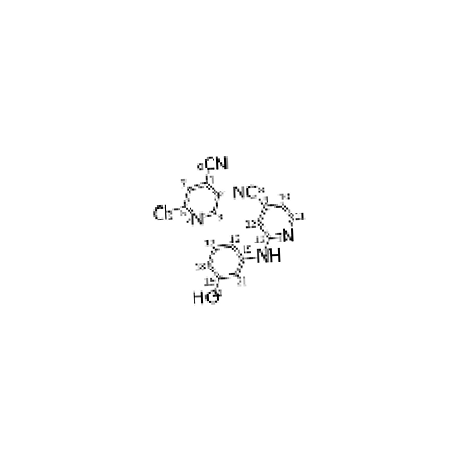 N#Cc1ccnc(Cl)c1.N#Cc1ccnc(Nc2cccc(O)c2)c1